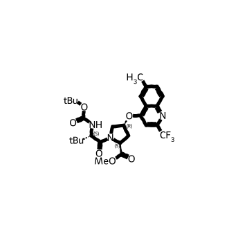 COC(=O)[C@@H]1C[C@@H](Oc2cc(C(F)(F)F)nc3ccc(C)cc23)CN1C(=O)[C@@H](NC(=O)OC(C)(C)C)C(C)(C)C